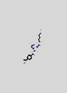 Cc1ncsc1-c1ccc(C(C)NC(=O)[C@@H]2C[C@@H](O)CN2C(=O)C(NC(=O)CCCCNC(=O)O)C(C)(C)C)cc1